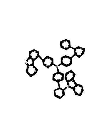 C1=CCC(c2ccc(N(c3ccc(-c4ccccc4-c4ccccc4)cc3)c3ccc(-c4cccc5sc6ccccc6c45)cc3)cc2)C(n2c3ccccc3c3ccccc32)=C1